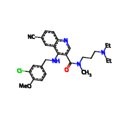 CCN(CC)CCCN(C)C(=O)c1cnc2ccc(C#N)cc2c1NCc1ccc(OC)c(Cl)c1